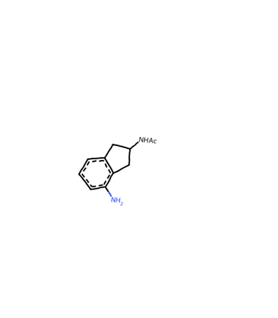 CC(=O)NC1Cc2cccc(N)c2C1